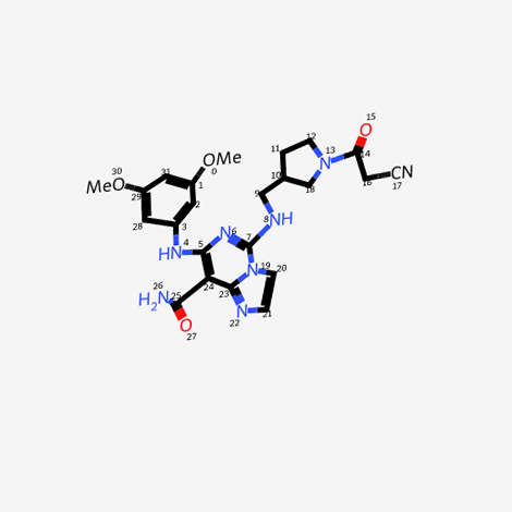 COc1cc(Nc2nc(NCC3CCN(C(=O)CC#N)C3)n3ccnc3c2C(N)=O)cc(OC)c1